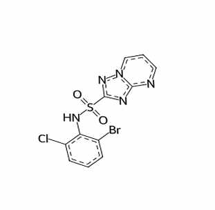 O=S(=O)(Nc1c(Cl)cccc1Br)c1nc2ncccn2n1